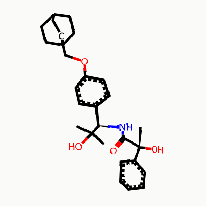 CC(C)(O)[C@H](NC(=O)[C@](C)(O)c1ccccc1)c1ccc(OCC23CCC(CC2)CC3)cc1